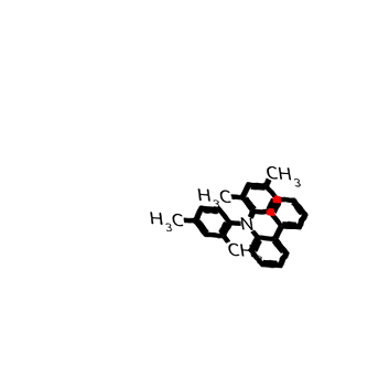 Cc1ccc(N(c2ccc(C)cc2C)c2ccccc2-c2ccccc2)c(C)c1